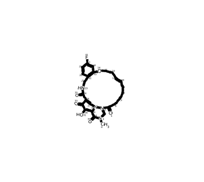 CN1CN2C(=O)CCCC/C=C/CCOc3cc(F)ccc3CNC(=O)c3cn2c(c(O)c3=O)C1=O